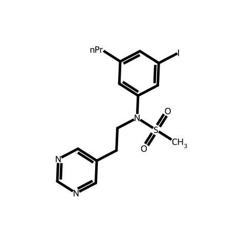 CCCc1cc(I)cc(N(CCc2cncnc2)S(C)(=O)=O)c1